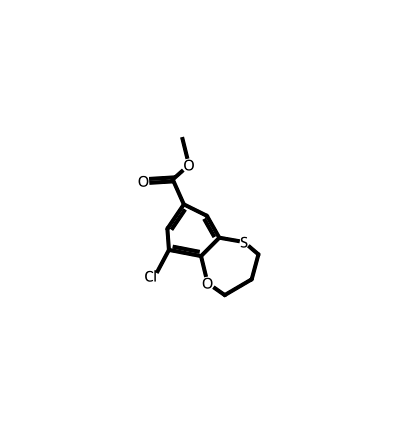 COC(=O)c1cc(Cl)c2c(c1)SCCCO2